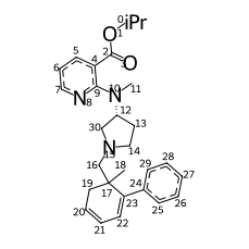 CC(C)OC(=O)c1cccnc1N(C)[C@@H]1CCN(CC2(C)CC=CC=C2c2ccccc2)C1